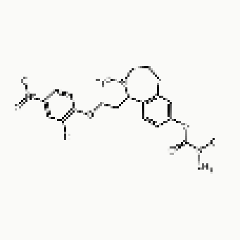 CN(C)C(=O)Oc1ccc2c(c1)CCCN(C)C2CCOc1ccc([N+](=O)[O-])cc1Cl